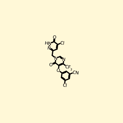 N#Cc1cc(Cl)cc(Oc2c(C(F)(F)F)ncn(Cc3cc(Cl)c(=O)[nH]n3)c2=O)c1